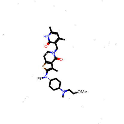 CCN(c1sc2c(c1C)C(=O)N(Cc1c(C)cc(C)[nH]c1=O)CC2)[C@H]1CC[C@H](N(C)CCOC)CC1